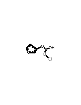 OB(OCl)Oc1ccsc1